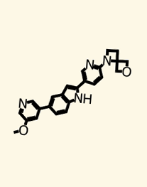 COc1cncc(-c2ccc3[nH]c(-c4ccc(N5CCC56COC6)nc4)cc3c2)c1